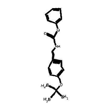 BC(B)(B)Oc1ccc(CNC(=O)Oc2ccccc2)cc1